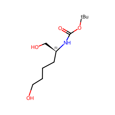 CC(C)(C)OC(=O)N[C@H](CO)CCCCO